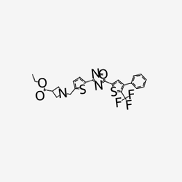 CCOC(=O)C1CN(Cc2ccc(-c3noc(-c4cc(-c5ccccc5)c(C(F)(F)F)s4)n3)s2)C1